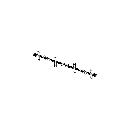 CC(C)(C)C(=O)NCCOCCOCCC(=O)NCCCOCCOCCCNC(=O)CCOCCOCCNC(=O)C(C)(C)C